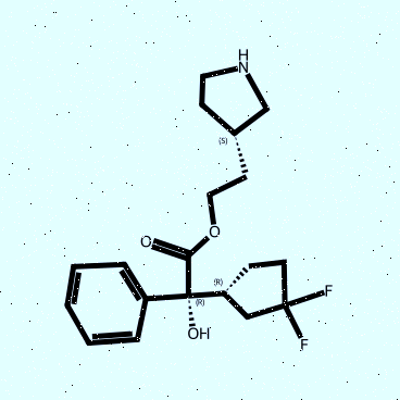 O=C(OCC[C@@H]1CCNC1)[C@](O)(c1ccccc1)[C@@H]1CCC(F)(F)C1